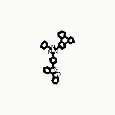 c1ccc(-c2nc(-c3ccc(-c4nc5oc6ccccc6c5c5ccccc45)cc3)nc(-c3ccc4c5ccccc5c5ccccc5c4c3)n2)cc1